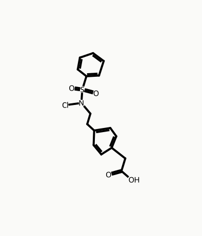 O=C(O)Cc1ccc(CCN(Cl)S(=O)(=O)c2ccccc2)cc1